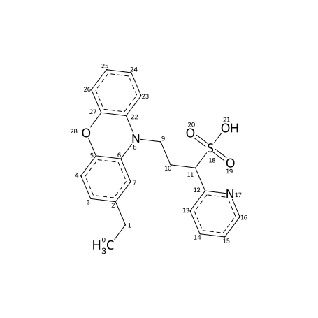 CCc1ccc2c(c1)N(CCC(c1ccccn1)S(=O)(=O)O)c1ccccc1O2